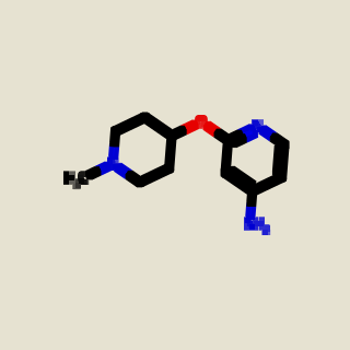 CN1CCC(Oc2cc(N)ccn2)CC1